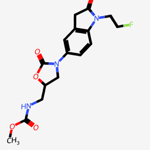 COC(=O)NCC1CN(c2ccc3c(c2)CC(=O)N3CCF)C(=O)O1